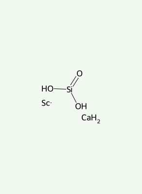 O=[Si](O)O.[CaH2].[Sc]